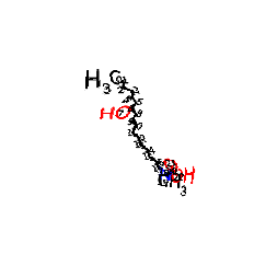 CCCCCCC(O)CC=CCCCCCCCN(C)C(=O)O